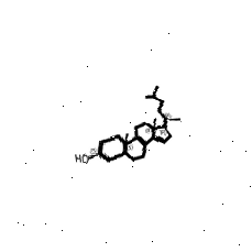 CC(C)CC[C@@H](C)[C@H]1CC=C2C3=C(CC[C@@]21C)[C@@]1(C)CC[C@H](O)CC1CC3